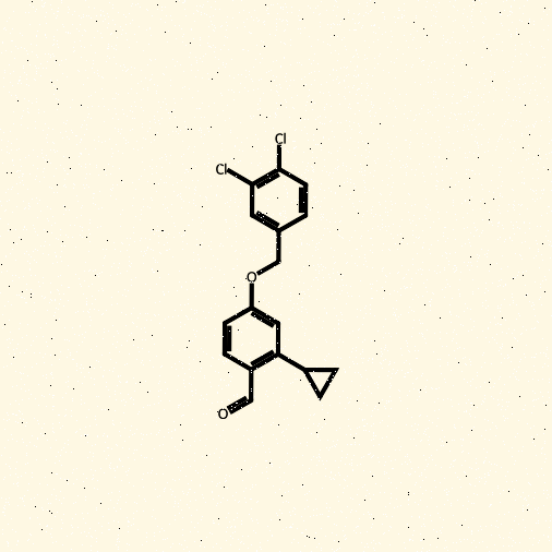 O=Cc1ccc(OCc2ccc(Cl)c(Cl)c2)cc1C1CC1